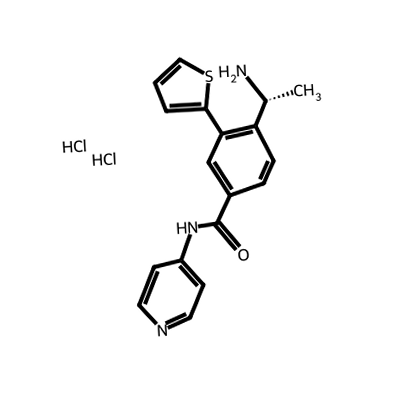 C[C@@H](N)c1ccc(C(=O)Nc2ccncc2)cc1-c1cccs1.Cl.Cl